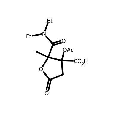 CCN(CC)C(=O)C1(C)OC(=O)CC1(OC(C)=O)C(=O)O